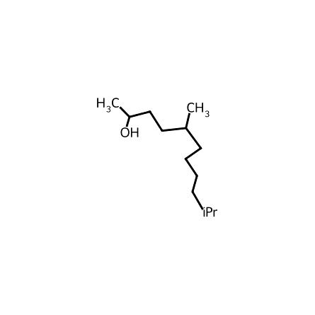 CC(C)CCCCC(C)CCC(C)O